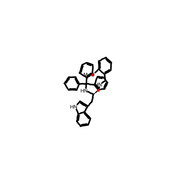 COc1ccccc1CNC[C@@H](Cc1c[nH]c2ccccc12)NC(c1ccccc1)(c1ccccc1)c1ccccc1